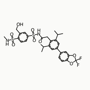 CNS(=O)(=O)c1ccc(S(=O)(=O)NC(=O)Cc2c(C(C)C)cc(-c3ccc4c(c3)OC(F)(F)O4)cc2C(C)C)cc1CO